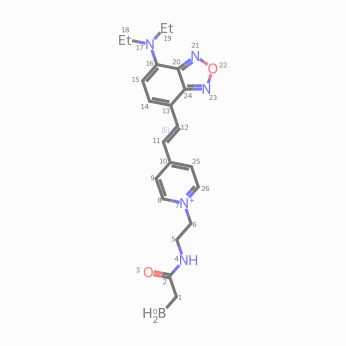 BCC(=O)NCC[n+]1ccc(/C=C/c2ccc(N(CC)CC)c3nonc23)cc1